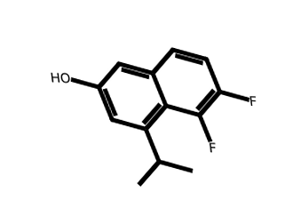 CC(C)c1cc(O)cc2ccc(F)c(F)c12